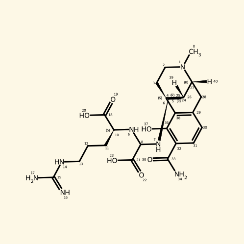 CN1CC[C@]23C[C@H](NC(N[C@@H](CCCNC(=N)N)C(=O)O)C(=O)O)CC[C@H]2[C@H]1Cc1ccc(C(N)=O)c(O)c13